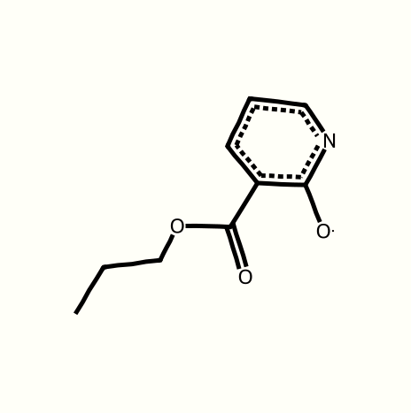 CCCOC(=O)c1cccnc1[O]